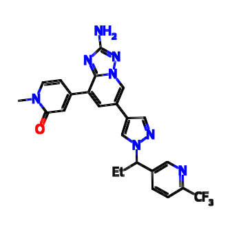 CCC(c1ccc(C(F)(F)F)nc1)n1cc(-c2cc(-c3ccn(C)c(=O)c3)c3nc(N)nn3c2)cn1